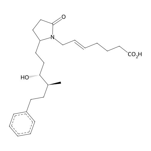 C[C@@H](CCc1ccccc1)[C@H](O)CCC1CCC(=O)N1CC=CCCCC(=O)O